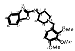 COc1ccc(CN2CCC(Nc3nc4ccccc4o3)CC2)c(OC)c1OC